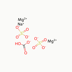 O=C([O-])O.O=S(=O)([O-])[O-].O=S(=O)([O-])[O-].[Mg+2].[Mg+2].[Na+]